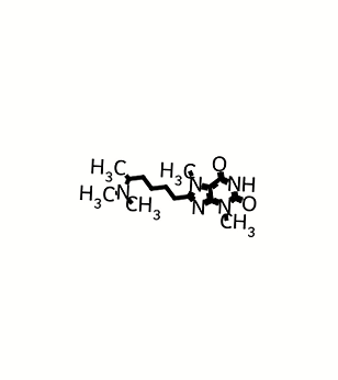 CC(CCCCc1nc2c(c(=O)[nH]c(=O)n2C)n1C)N(C)C